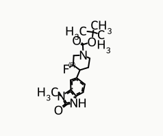 Cn1c(=O)[nH]c2ccc(C3CCN(C(=O)OC(C)(C)C)C[C@@H]3F)cc21